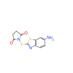 Nc1ccc2nc(SN3C(=O)CCC3=O)sc2c1